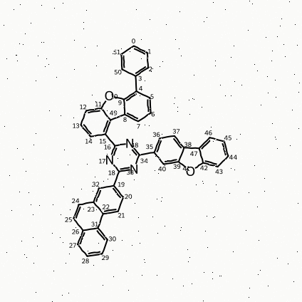 c1ccc(-c2cccc3c2oc2cccc(-c4nc(-c5ccc6c(ccc7ccccc76)c5)nc(-c5ccc6c(c5)oc5ccccc56)n4)c23)cc1